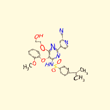 COc1ccccc1Oc1c(NS(=O)(=O)c2ccc(C(C)C)cc2)nc(-c2ccnc(C#N)c2)nc1OCCO